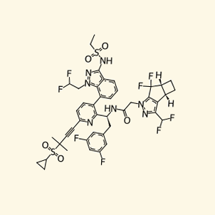 CCS(=O)(=O)Nc1nn(CC(F)F)c2c(-c3ccc(C#CC(C)(C)S(=O)(=O)C4CC4)nc3[C@H](Cc3cc(F)cc(F)c3)NC(=O)Cn3nc(C(F)F)c4c3C(F)(F)[C@@H]3CC[C@H]43)cccc12